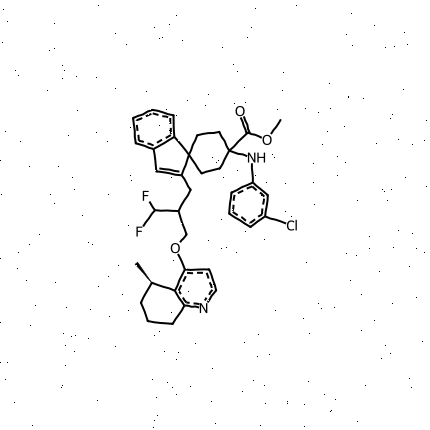 COC(=O)C1(Nc2cccc(Cl)c2)CCC2(CC1)C(CC(COc1ccnc3c1[C@H](C)CCC3)C(F)F)=Cc1ccccc12